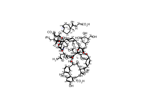 CC(C)C[C@H](C(=O)N[C@H]1C(=O)N[C@@H](CC(N)=O)C(=O)N[C@H]2C(=O)N[C@H]3C(=O)N[C@H](C(=O)N[C@H](C(=O)O)c4cc(O)cc(O)c4-c4cc3ccc4O)[C@H](O)c3ccc(c(Cl)c3)Oc3cc2cc(c3OC2O[C@H](CO)[C@@H](O)[C@H](O)[C@H]2O[C@H]2C[C@](C)(NC(=O)O[C@@H]3/C=C/CC[C@](C)(C(=O)NCC(=O)O)CC3)[C@H](O)[C@H](C)O2)Oc2ccc(cc2Cl)[C@H]1O)N(C)C(=O)O[C@@H]1/C=C/CC[C@](C)(C(=O)NCC(=O)O)CC1